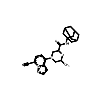 CC1CN(c2ccc(C#N)n3nccc23)CC(C(=O)NC23CC4CC(CC(C4)C2)C3)O1